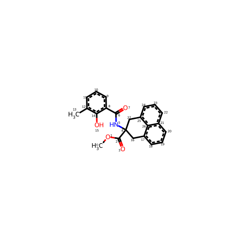 COC(=O)C1(NC(=O)c2cccc(C)c2O)Cc2cccc3cccc(c23)C1